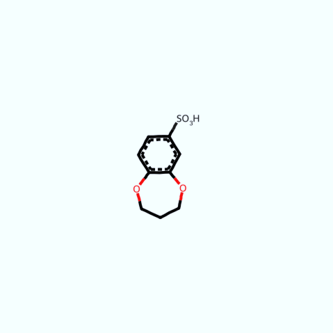 O=S(=O)(O)c1ccc2c(c1)OCCCO2